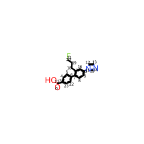 O=C(O)c1ccc(-c2ccc(-n3ccnc3)cc2CCCF)cc1